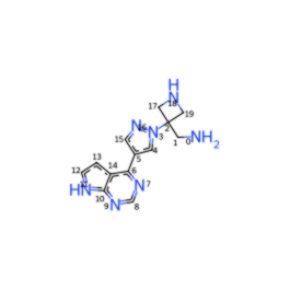 NCC1(n2cc(-c3ncnc4[nH]ccc34)cn2)CNC1